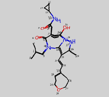 CC(C)CN1C(=O)C(C(=O)NC2CC2)=C(O)N2NC(C)C(/C=C/C3CCOCC3)=C12